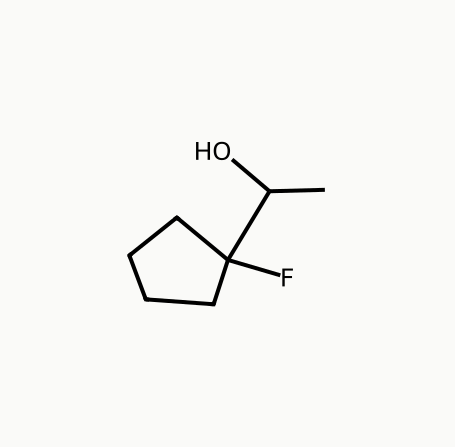 CC(O)C1(F)CCCC1